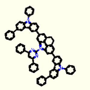 c1ccc(-c2ccc3c(c2)c2cc(-c4cc5c6c7c(cc(-c8ccc9c(c8)c8cc(-c%10ccccc%10)ccc8n9-c8ccccc8)cc7n(-c7nc(-c8ccccc8)cc(-c8ccccc8)n7)c6c4)CC5)ccc2n3-c2ccccc2)cc1